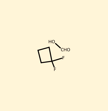 FC1(F)CCC1.O=CO